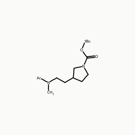 CC(=O)N(C)CCC1CCN(C(=O)OC(C)(C)C)C1